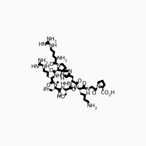 CC(C)C[C@@H](C(=O)N[C@@H](CO)C(=O)N[C@@H](Cc1c[nH]cn1)C(=O)N[C@@H](CCCCN)C(=O)NCC(=O)N1CCC[C@H]1C(=O)O)N(C)C(=O)[C@H](CCCNC(=N)N)NC(=O)[C@@H]1CCCN1C(=O)[C@@H](N)CCCNC(=N)N